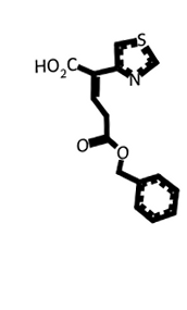 O=C(CC=C(C(=O)O)c1cscn1)OCc1ccccc1